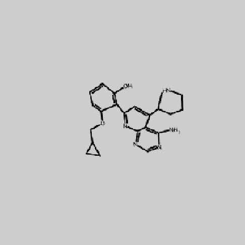 Nc1ncnc2nc(-c3c(O)cccc3OCC3CC3)cc(C3CCCNC3)c12